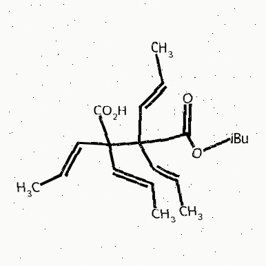 CC=CC(C=CC)(C(=O)O)C(C=CC)(C=CC)C(=O)OC(C)CC